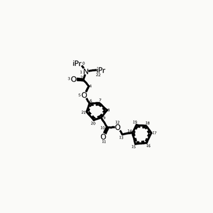 CC(C)N(C(=O)COc1ccc(C(=O)OCc2ccccc2)cc1)C(C)C